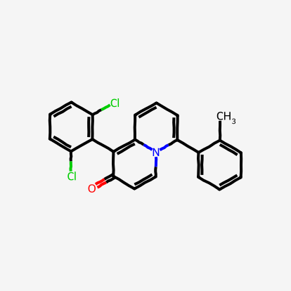 Cc1ccccc1-c1cccc2c(-c3c(Cl)cccc3Cl)c(=O)ccn12